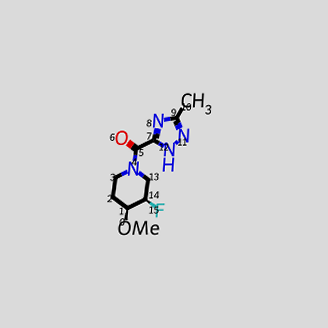 CO[C@H]1CCN(C(=O)c2nc(C)n[nH]2)C[C@H]1F